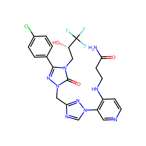 NC(=O)CCNc1ccncc1-n1cnc(Cn2nc(-c3ccc(Cl)cc3)n(C[C@H](O)C(F)(F)F)c2=O)n1